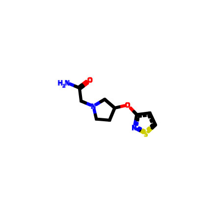 NC(=O)CN1CCC(Oc2ccsn2)C1